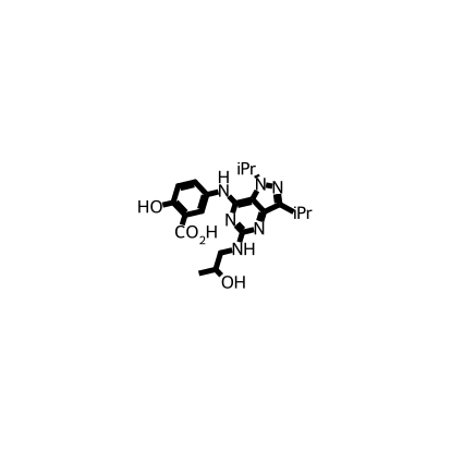 CC(O)CNc1nc(Nc2ccc(O)c(C(=O)O)c2)c2c(n1)c(C(C)C)nn2C(C)C